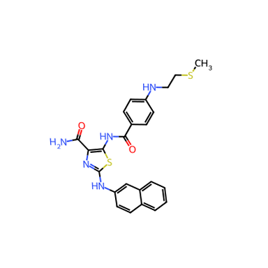 CSCCNc1ccc(C(=O)Nc2sc(Nc3ccc4ccccc4c3)nc2C(N)=O)cc1